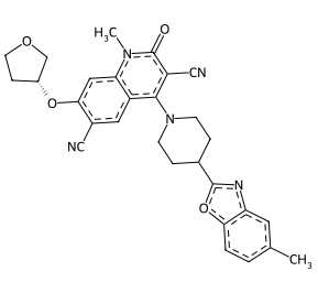 Cc1ccc2oc(C3CCN(c4c(C#N)c(=O)n(C)c5cc(O[C@@H]6CCOC6)c(C#N)cc45)CC3)nc2c1